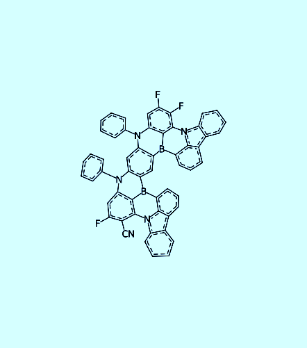 N#Cc1c(F)cc2c3c1-n1c4ccccc4c4cccc(c41)B3c1cc3c(cc1N2c1ccccc1)N(c1ccccc1)c1cc(F)c(F)c2c1B3c1cccc3c4ccccc4n-2c13